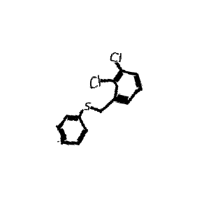 Clc1cccc(CSc2cc[c]cc2)c1Cl